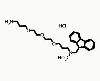 Cl.NCCCOCCOCCOCCCN(CC1c2ccccc2-c2ccccc21)C(=O)O